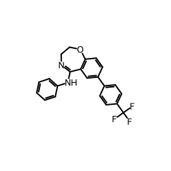 FC(F)(F)c1ccc(-c2ccc3c(c2)C(Nc2ccccc2)=NCCO3)cc1